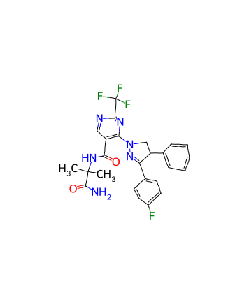 CC(C)(NC(=O)c1cnc(C(F)(F)F)nc1N1CC(c2ccccc2)C(c2ccc(F)cc2)=N1)C(N)=O